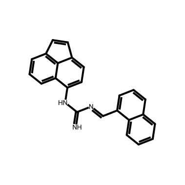 N=C(N=Cc1cccc2ccccc12)Nc1ccc2c3c(cccc13)C=C2